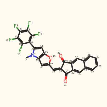 Cn1c(-c2c(F)c(F)c(F)c(F)c2F)cc2oc(C=C3C(=O)c4cc5ccccc5cc4C3=O)cc21